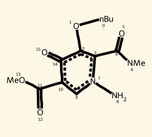 CCCCOc1c(C(=O)NC)n(N)cc(C(=O)OC)c1=O